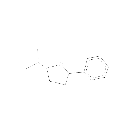 CC(C)C1CCC(c2ccccc2)O1